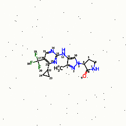 Cc1nn(C2CCNC2=O)cc1Nc1ncc(C(F)(F)F)c(C2CC2)n1